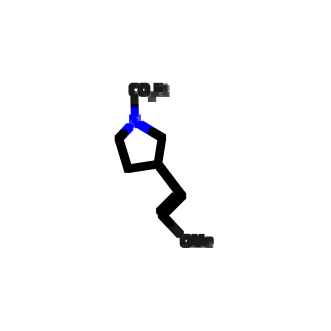 CCOC(=O)N1CCC(C=COC)C1